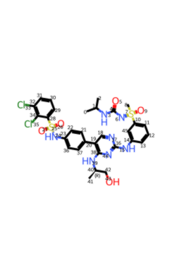 CC(C)NC(=O)N=S(C)(=O)c1cccc(Nc2ncc(-c3ccc(NS(=O)(=O)c4cccc(Cl)c4Cl)cc3)c(N[C@H](C)CO)n2)c1